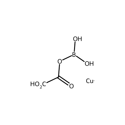 O=C(O)C(=O)OB(O)O.[Cu]